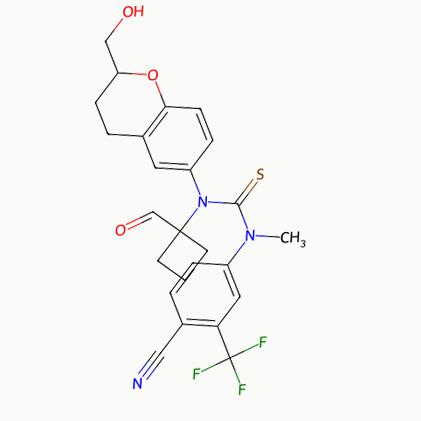 CN(C(=S)N(c1ccc2c(c1)CCC(CO)O2)C1(C=O)CCC1)c1ccc(C#N)c(C(F)(F)F)c1